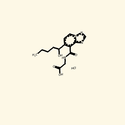 CCCCC(O)c1ccn2ncnc2c1C(=O)NCC(=O)O.Cl